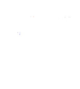 Cc1nc(-c2ccccc2)c(C(C)C(=O)O)o1